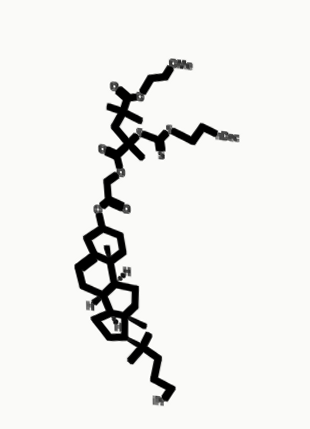 CCCCCCCCCCCCSC(=S)SC(C)(CC(C)(C)C(=O)OCCOC)C(=O)OCC(=O)OC1CC[C@@]2(C)C(=CC[C@H]3[C@@H]4CC[C@H](C(C)(C)CCCC(C)C)[C@@]4(C)CC[C@@H]32)C1